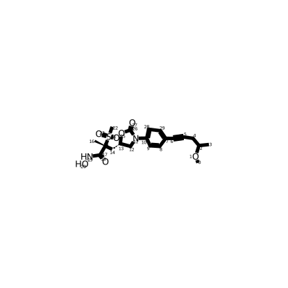 COC(C)CC#Cc1ccc(N2C[C@H](C[C@](C)(C(=O)NO)S(C)(=O)=O)OC2=O)cc1